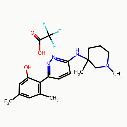 Cc1cc(C(F)(F)F)cc(O)c1-c1ccc(NC2(C)CCCN(C)C2)nn1.O=C(O)C(F)(F)F